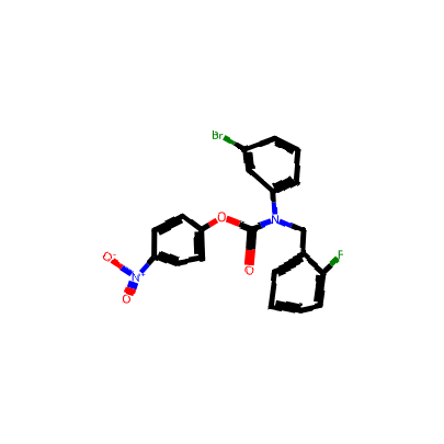 O=C(Oc1ccc([N+](=O)[O-])cc1)N(Cc1ccccc1F)c1cccc(Br)c1